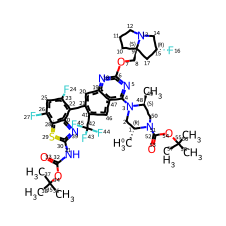 C[C@@H]1CN(c2nc(OC[C@@]34CCCN3C[C@H](F)C4)nc3cc(-c4c(F)cc(F)c5sc(NC(=O)OC(C)(C)C)nc45)c(C(F)(F)F)cc23)[C@@H](C)CN1C(=O)OC(C)(C)C